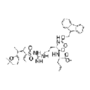 C=CC[C@@H](NC(=O)[C@@H](CCCNC(=N)NS(=O)(=O)c1c(C)c(C)c2c(c1C)CCC(C)(C)O2)NC(=O)OCC1c2ccccc2-c2ccccc21)C(=O)OC